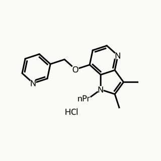 CCCn1c(C)c(C)c2nccc(OCc3cccnc3)c21.Cl